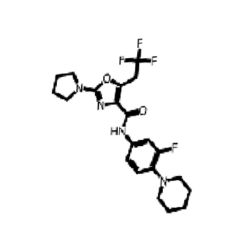 O=C(Nc1ccc(N2CCCCC2)c(F)c1)c1nc(N2CCCC2)oc1CC(F)(F)F